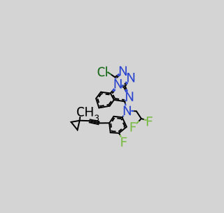 CC1(C#Cc2cc(F)cc(N(CC(F)F)c3nc4nnc(Cl)n4c4ccccc34)c2)CC1